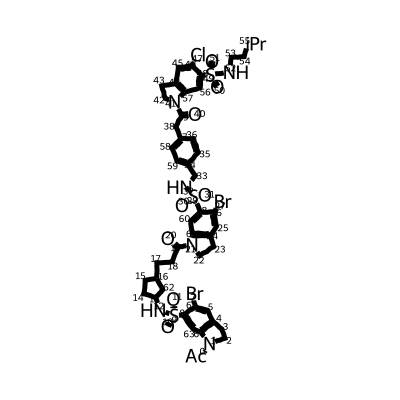 CC(=O)N1CCc2cc(Br)c(S(=O)(=O)NC3CCC(CCC(=O)N4CCc5cc(Br)c(S(=O)(=O)NCc6ccc(CC(=O)N7CCc8cc(Cl)c(S(=O)(=O)NCCC(C)C)cc87)cc6)cc54)C3)cc21